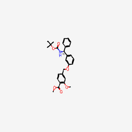 COC(=O)c1ccc(COc2cccc([C@@H](NC(=O)OC(C)(C)C)c3ccccc3)c2)cc1OC